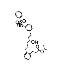 CC(C)OC(=O)CCc1ccccc1CCCC(O)/C=C/c1cccc(NS(=O)(=O)c2ccccc2)c1